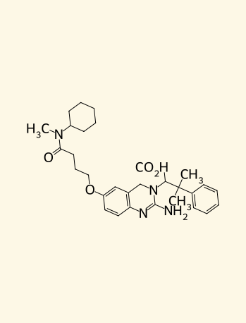 CN(C(=O)CCCOc1ccc2c(c1)CN(C(C(=O)O)C(C)(C)c1ccccc1)C(N)=N2)C1CCCCC1